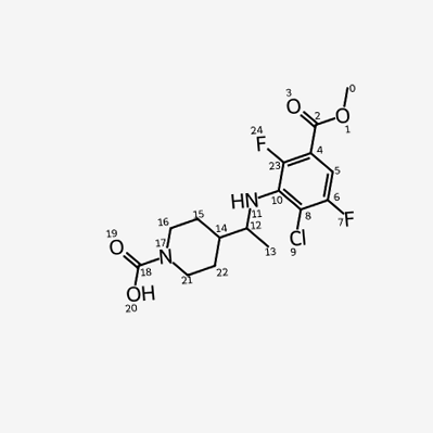 COC(=O)c1cc(F)c(Cl)c(NC(C)C2CCN(C(=O)O)CC2)c1F